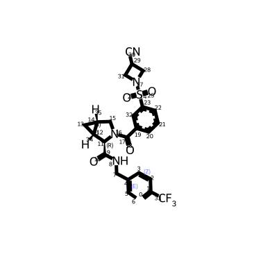 C=C(/C=C\C(=C/C)CNC(=O)[C@H]1[C@@H]2C[C@@H]2CN1C(=O)c1cccc(S(=O)(=O)N2CC(C#N)C2)c1)C(F)(F)F